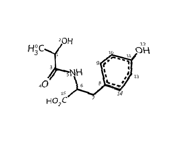 CC(O)C(=O)NC(Cc1ccc(O)cc1)C(=O)O